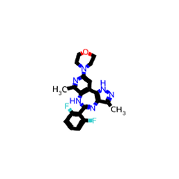 Cc1n[nH]c2c1N=C(c1c(F)cccc1F)Nc1c-2cc(N2CCOCC2)nc1C